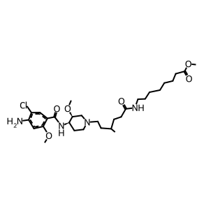 COC(=O)CCCCCCCNC(=O)CCC(C)CCN1CC[C@@H](NC(=O)c2cc(Cl)c(N)cc2OC)[C@@H](OC)C1